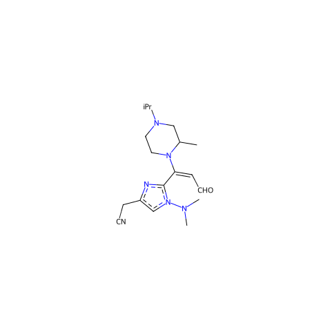 CC(C)N1CCN(/C(=C/C=O)c2nc(CC#N)cn2N(C)C)C(C)C1